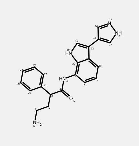 NCCC(C(=O)Nc1cccc2c(-c3cn[nH]c3)c[nH]c12)c1ccccc1